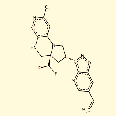 C=Cc1cnc2c(cnn2[C@H]2CN3c4cc(Cl)nnc4NC[C@@]3(C(F)F)C2)c1